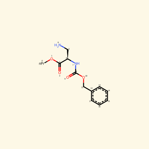 CCCOC(=O)[C@@H](CN)NC(=O)OCc1ccccc1